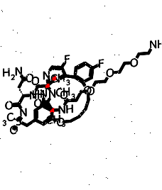 C[C@H](NC(=O)CCOCCOCCOCCN)C(=O)N(C)[C@@H](C)C(=O)N[C@@H](CC(N)=O)C(=O)N=[S@@](C)(=O)Cc1cc2cc(c1)OCCCCOc1cc(F)ccc1-c1nc(ncc1F)N2